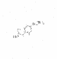 [NH]C(=O)Cc1ccc(OCN)cc1